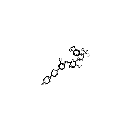 CN1CCN(C2CCN(c3ccc(Nc4ncc(Br)c(Nc5cc6c(cc5N(C)S(C)(=O)=O)CCO6)n4)c(Cl)c3)CC2)CC1